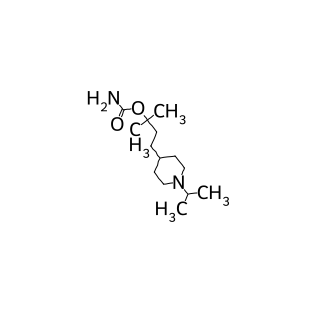 CC(C)N1CCC(CCC(C)(C)OC(N)=O)CC1